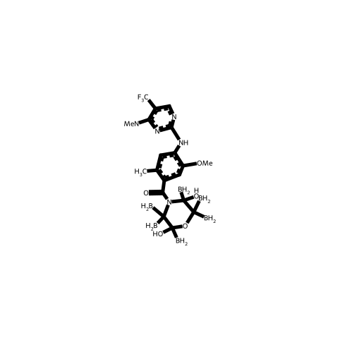 BC1(B)OC(B)(O)C(B)(B)N(C(=O)c2cc(OC)c(Nc3ncc(C(F)(F)F)c(NC)n3)cc2C)C1(B)O